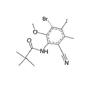 COc1c(Br)c(I)c(C)c(C#N)c1NC(=O)C(C)(C)C